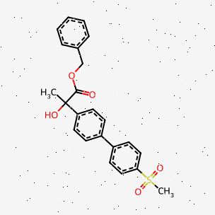 CC(O)(C(=O)OCc1ccccc1)c1ccc(-c2ccc(S(C)(=O)=O)cc2)cc1